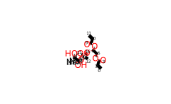 C=CC(=O)OCCOC(=O)C=C.C[As](=O)([O-])[O-].OCCO.[Na+].[Na+]